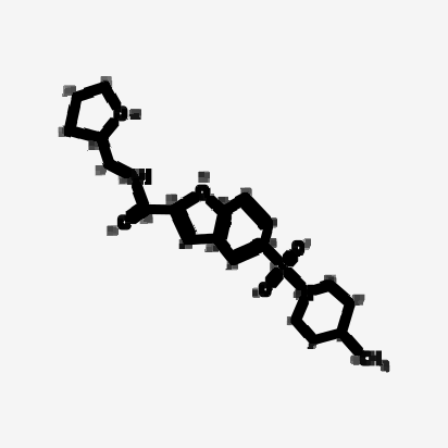 CC1CCN(S(=O)(=O)c2ccc3oc(C(=O)NCC4CCCO4)cc3c2)CC1